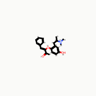 CC(=O)C(=Cc1ccccc1)Oc1ccc(O)cc1CC(C)N(C)C